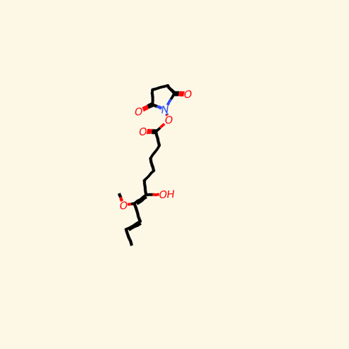 C/C=C/C(OC)=C(\O)CCCCC(=O)ON1C(=O)CCC1=O